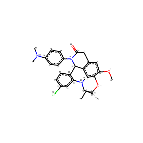 CC[C@@H](C)Oc1cc2c(cc1OC)CC(=O)N(c1ccc(N(C)C)cc1)C2c1ccc(Cl)cc1N(C)CC